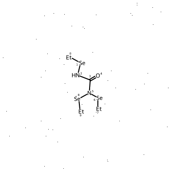 CC[Se]NC(=O)N([Se]CC)[Se]CC